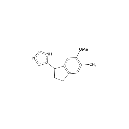 COc1cc2c(cc1C)CCC2c1cnc[nH]1